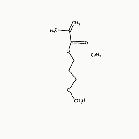 C=C(C)C(=O)OCCCOC(=O)O.[CaH2]